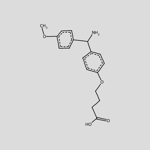 COc1ccc(C(N)c2ccc(OCCCC(=O)O)cc2)cc1